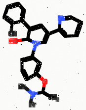 CC(C)N(C(C)C)C(C)Oc1cccc(N2C=C(c3ccccn3)C=C(c3ccccc3C#N)C2O)c1